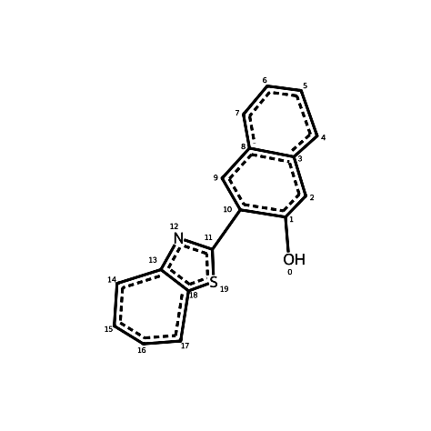 Oc1cc2ccccc2cc1-c1nc2ccccc2s1